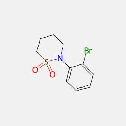 O=S1(=O)CCCCN1c1ccccc1Br